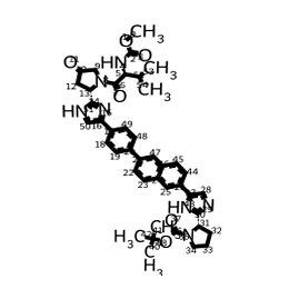 COC(=O)N[C@H](C(=O)N1CC(=O)C[C@H]1c1nc(-c2ccc(-c3ccc4cc(-c5cnc([C@@H]6CCCN6C(=O)OC(C)(C)C)[nH]5)ccc4c3)cc2)c[nH]1)C(C)C